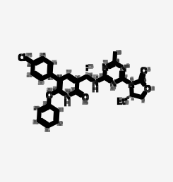 CC[C@H]1COC(=O)N1c1nc(C)nc(N[C@@H](C)c2cc(-c3ccc(Cl)cc3)c(Oc3ccccc3)[nH]c2=O)n1